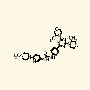 CC1COCCN1c1nc(-c2ccc(NC(=O)Nc3ccc(N4CCN(C)CC4)nc3)cc2)nc(N2CCOCC2C)n1